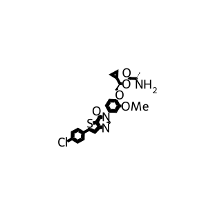 COc1cc(-n2cnc3cc(-c4ccc(Cl)cc4)sc3c2=O)ccc1OC[C@H](OC(=O)[C@H](C)N)C1CC1